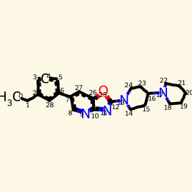 CCc1cccc(-c2cnc3nc(N4CCC(N5CCCCC5)CC4)oc3c2)c1